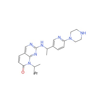 CC(Nc1ncc2ccc(=O)n(C(C)C(C)C)c2n1)c1ccc(N2CCNCC2)nc1